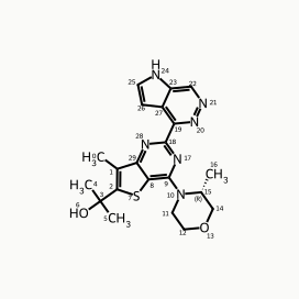 Cc1c(C(C)(C)O)sc2c(N3CCOC[C@H]3C)nc(-c3nncc4[nH]ccc34)nc12